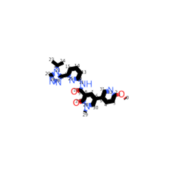 COc1ccc(-c2cc(C(=O)Nc3cccc(-c4nncn4C(C)C)n3)c(=O)n(C)c2)cn1